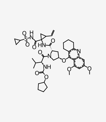 C=CC1CC1(NC(=O)[C@@H]1C[C@@H](Oc2c3c(nc4cc(OC)cc(OC)c24)CCCC3)CN1C(=O)[C@@H](NC(=O)OC1CCCC1)C(C)C)C(=O)NS(=O)(=O)C1CC1